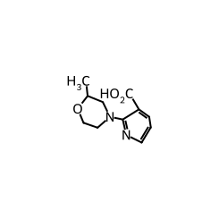 CC1CN(c2ncccc2C(=O)O)CCO1